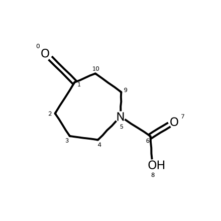 O=C1CCCN(C(=O)O)CC1